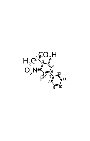 CC(C(=O)O)c1ccc(-c2ccccc2)c(F)c1[N+](=O)[O-]